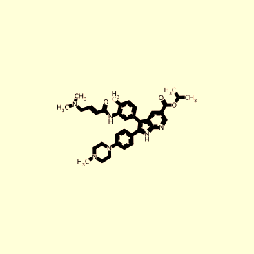 Cc1ccc(-c2c(-c3ccc(N4CCN(C)CC4)cc3)[nH]c3ncc(C(=O)OC(C)C)cc23)cc1NC(=O)C=CCN(C)C